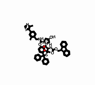 Cc1cc(-c2scnc2C)ccc1CNC(=O)[C@H]1C[C@@H](O)CN1C(=O)[C@@H](NC(=O)OCC1c2ccccc2-c2ccccc21)C(C)(C)SC(c1ccccc1)(c1ccccc1)c1ccccc1